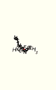 COc1ccc2ncc(Cl)c([C@@H](F)CCC3(C(=O)O)CCN(CCCSc4ccncc4)CC3)c2c1